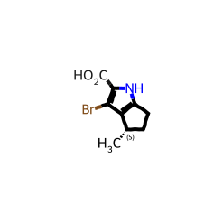 C[C@H]1CCc2[nH]c(C(=O)O)c(Br)c21